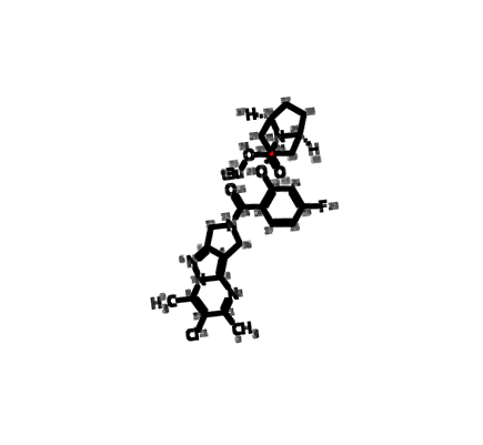 Cc1nc2c3c(nn2c(C)c1Cl)CN(C(=O)c1ccc(F)cc1O[C@@H]1C[C@H]2CC[C@@H](C1)N2C(=O)OC(C)(C)C)C3